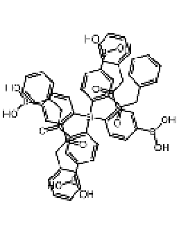 O=C(Cc1ccccc1)c1cc(B(O)O)ccc1[Si](c1ccc(B(O)O)cc1C(=O)Cc1ccccc1)(c1ccc(B(O)O)cc1C(=O)Cc1ccccc1)c1ccc(B(O)O)cc1C(=O)Cc1ccccc1